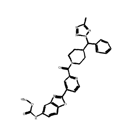 Cc1nnn(C(c2ccccc2)C2CCN(C(=O)c3cc(-c4nc5cc(NC(=O)OC(C)(C)C)ccc5o4)ccn3)CC2)n1